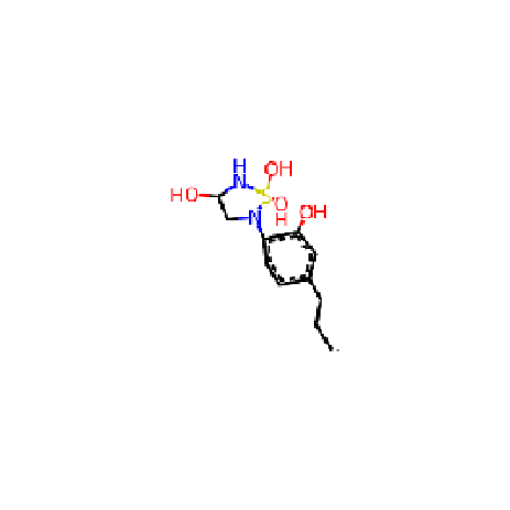 [CH2]CCc1ccc(N2CC(O)NS2(O)O)c(O)c1